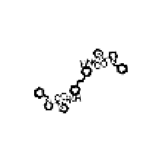 O=C(Nc1ccc(/C=C/c2ccc(NC(=O)[C@@H]3CCCN3C(=O)[C@@H]3CCCN3Cc3ccccc3)cc2)cc1)[C@@H]1CCCN1C(=O)[C@@H]1CCCN1Cc1ccccc1